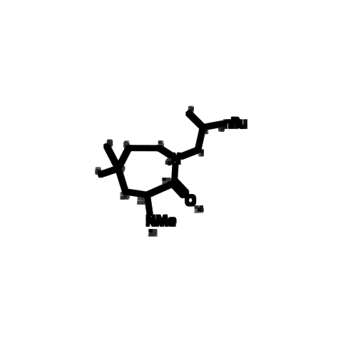 CCCCC(C)CN1CCC(C)(C)CC(NC)C1=O